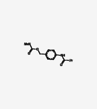 CNC(=O)OCc1ccc(NC(=O)C(C)C)cc1